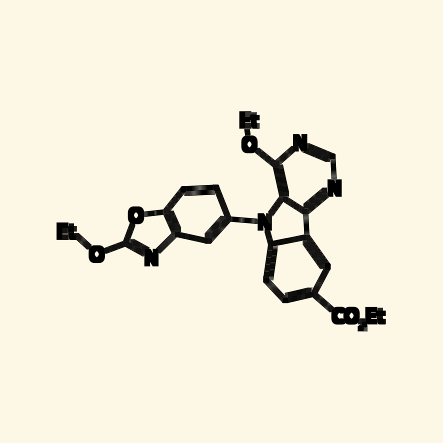 CCOC(=O)c1ccc2c(c1)c1ncnc(OCC)c1n2-c1ccc2oc(OCC)nc2c1